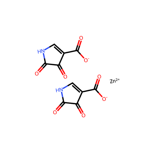 O=C([O-])C1=CNC(=O)C1=O.O=C([O-])C1=CNC(=O)C1=O.[Zn+2]